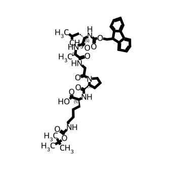 CC(C)C[C@H](NC(=O)OCC1c2ccccc2-c2ccccc21)C(=O)N[C@@H](C)C(=O)NCC(=O)N1CCC[C@H]1C(=O)N[C@@H](CCCCNC(=O)OC(C)(C)C)C(=O)O